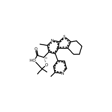 Cc1cc(-c2c([C@H](OC(C)(C)C)C(=O)O)c(C)nc3sc4c(c23)CCCC4)ccn1